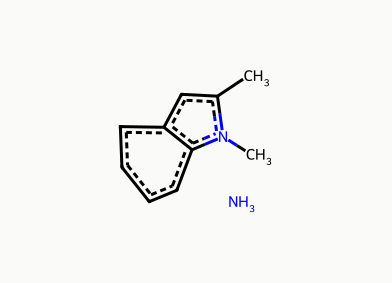 Cc1cc2ccccc2n1C.N